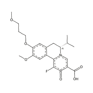 COCCCOc1cc2c(cc1OC)-c1c(F)c(=O)c(C(=O)O)cn1[C@@H](C(C)C)C2